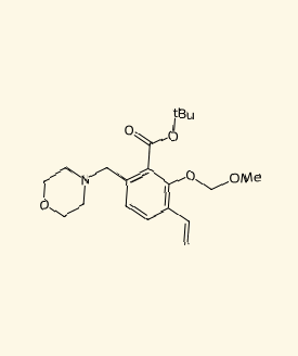 C=Cc1ccc(CN2CCOCC2)c(C(=O)OC(C)(C)C)c1OCOC